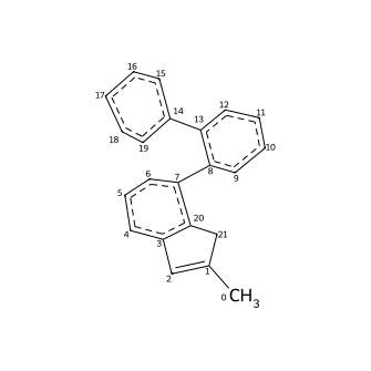 CC1=Cc2cccc(-c3ccccc3-c3ccccc3)c2C1